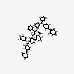 C#C/C=C(/c1ccccc1-c1ccc(N(c2ccccc2)c2ccc(-c3ccccc3)cc2)cc1)C(CC)C1C=CC=CC1c1ccc(N(c2ccccc2)c2ccc(-c3ccccc3)cc2)cc1